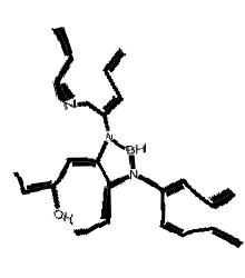 C=C/C=C\C(=C/C=C)N1BN(C(=C/C=C)/N=C\C=C)C(=C/C(O)=C\C)/C1=C\C